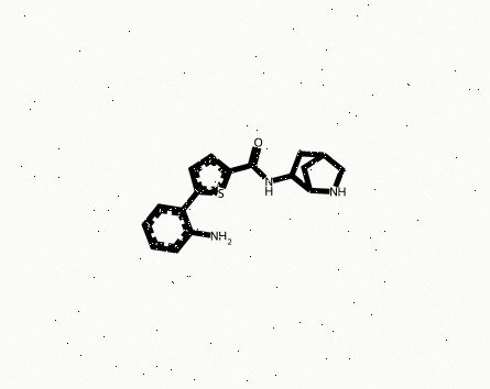 Nc1ccccc1-c1ccc(C(=O)NC2CC3CNC2C3)s1